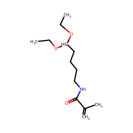 C=C(C)C(=O)NCCCC[SiH](OCC)OCC